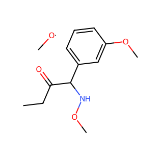 CCC(=O)C(NOC)c1cccc(OC)c1.C[O]